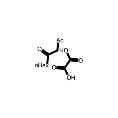 CCCCCCC(=O)CC(C)=O.O=C(O)C(=O)O